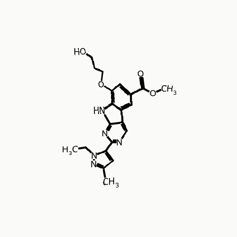 CCn1nc(C)cc1-c1ncc2c(n1)[nH]c1c(OCCCO)cc(C(=O)OC)cc12